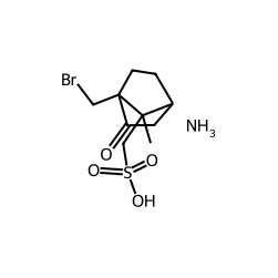 CC1(CS(=O)(=O)O)C2CCC1(CBr)C(=O)C2.N